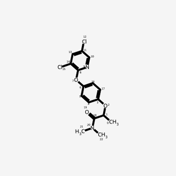 CC(Oc1ccc(Oc2ncc(Cl)cc2Cl)cc1)C(=O)N(C)C